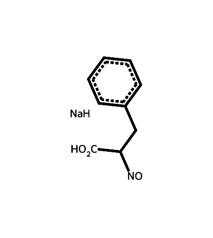 O=NC(Cc1ccccc1)C(=O)O.[NaH]